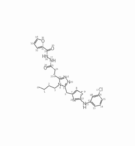 CCCCn1c(Cc2csc(Nc3cccc(Cl)c3)n2)nnc1SCC(=O)NNC(=O)c1ccco1